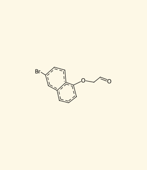 O=CCOc1cccc2cc(Br)ccc12